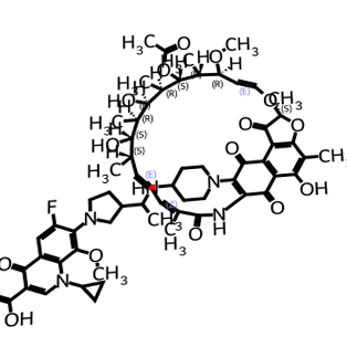 COc1c(N2CCC(C(C)NC3CCN(C4=C5NC(=O)/C(C)=C\C=C\[C@H](C)[C@H](O)[C@@H](C)[C@@H](O)[C@@H](C)[C@H](OC(C)=O)[C@H](C)[C@@H](OC)/C=C/O[C@@]6(C)Oc7c(C)c(O)c(c(c7C6=O)C4=O)C5=O)CC3)C2)c(F)cc2c(=O)c(C(=O)O)cn(C3CC3)c12